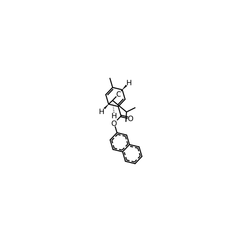 CC1=C[C@H]2C(C(=O)Oc3ccc4ccccc4c3)=C[C@@H]1C[C@H]2C(C)C